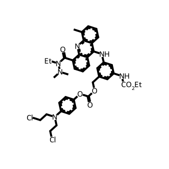 CCOC(=O)Nc1cc(COC(=O)Oc2ccc(N(CCCl)CCCl)cc2)cc(Nc2c3cccc(C)c3nc3c(C(=O)N(CC)N(C)C)cccc23)c1